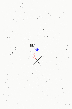 CCNOC(C)(C)C